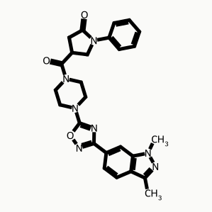 Cc1nn(C)c2cc(-c3noc(N4CCN(C(=O)C5CC(=O)N(c6ccccc6)C5)CC4)n3)ccc12